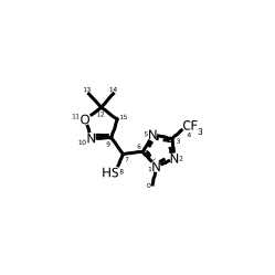 Cn1nc(C(F)(F)F)nc1C(S)C1=NOC(C)(C)C1